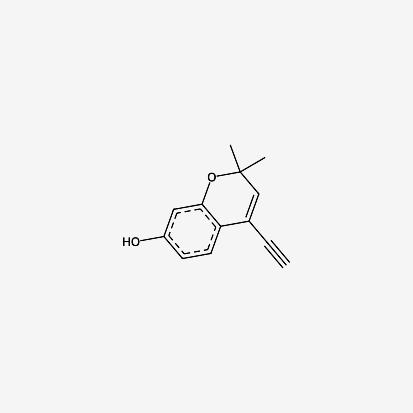 C#CC1=CC(C)(C)Oc2cc(O)ccc21